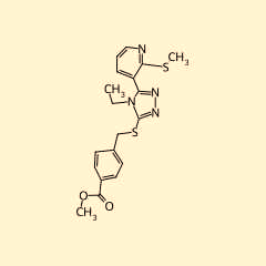 CCn1c(SCc2ccc(C(=O)OC)cc2)nnc1-c1cccnc1SC